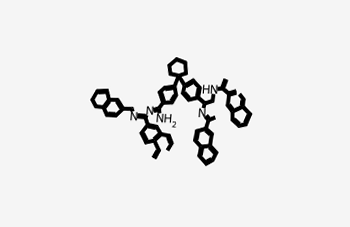 C=Cc1ccc(C(/N=C(\N)c2ccc(C3(c4ccc(C(CNC(=C)C(=C)/C=c5/cccc/c5=C/C)/N=C(\C)c5ccc6ccccc6c5)cc4)CCCCC3)cc2)=N/Cc2ccc3c(c2)C=CCC3)cc1/C=C\C